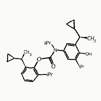 CC(C)c1cc(N(C(=O)Oc2c(C(C)C)cccc2[C@H](C)C2CC2)C(C)C)cc([C@H](C)C2CC2)c1O